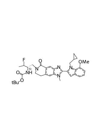 COc1cccc2cc(-c3nc4cc5c(cc4n3C)CCN(C[C@H](NC(=O)OC(C)(C)C)C(C)F)C5=O)n(CC3CC3)c12